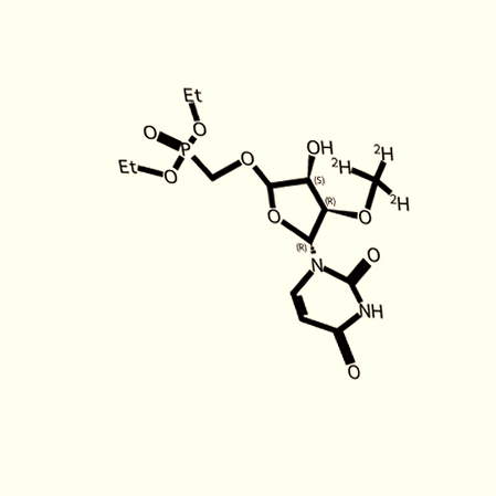 [2H]C([2H])([2H])O[C@@H]1[C@H](O)C(OCP(=O)(OCC)OCC)O[C@H]1n1ccc(=O)[nH]c1=O